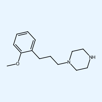 COc1ccccc1CCCN1CCNCC1